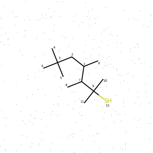 CC(CC(C)(C)C)C(C)C(C)(C)S